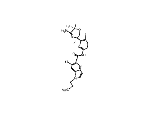 COCCn1ccc2nc(C(=O)Nc3ccc(F)c([C@]4(C)CO[C@@](C)(C(F)(F)F)C(N)=N4)n3)c(Cl)cc21